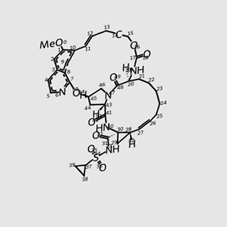 COc1cc2ccnc3c2cc1/C=C/CCCOC(=O)N[C@H]1CCCCC/C=C\[C@@H]2C[C@@]2(C(=O)NS(=O)(=O)C2CC2)NC(=O)[C@@H]2C[C@H](CN2C1=O)O3